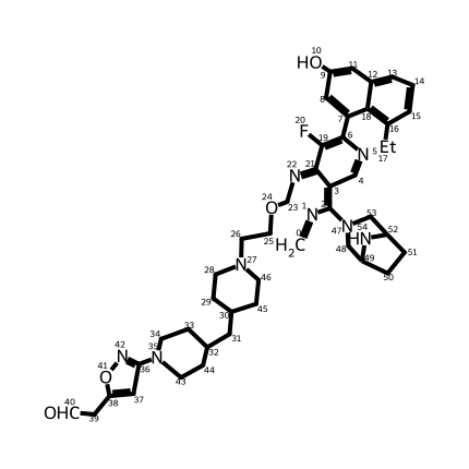 C=N/C(=C1/C=NC(c2cc(O)cc3cccc(CC)c23)=C(F)/C1=N/COCCN1CCC(CC2CCN(c3cc(CC=O)on3)CC2)CC1)N1CC2CCC(C1)N2